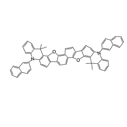 CC1(C)c2ccccc2N(c2ccc3ccccc3c2)c2ccc3c(oc4c3ccc3c4ccc4c5ccc6c(c5oc43)C(C)(C)c3ccccc3N6c3ccc4ccccc4c3)c21